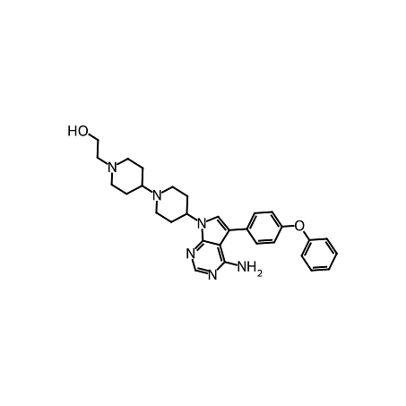 Nc1ncnc2c1c(-c1ccc(Oc3ccccc3)cc1)cn2C1CCN(C2CCN(CCO)CC2)CC1